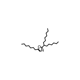 CCCCCCCc1cnc(C(CCCCCC)CCCCCCC)o1